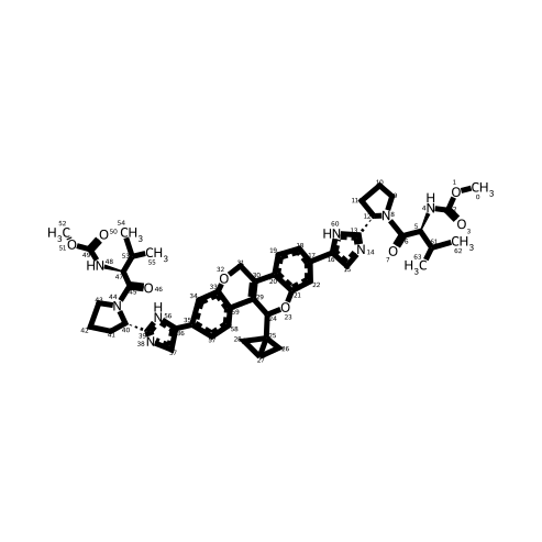 COC(=O)N[C@H](C(=O)N1CCC[C@H]1c1ncc(-c2ccc3c(c2)OC(C24CC2C4)C2=C3COc3cc(-c4cnc([C@@H]5CCCN5C(=O)[C@@H](NC(=O)OC)C(C)C)[nH]4)ccc32)[nH]1)C(C)C